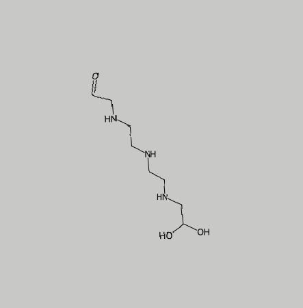 O=CCNCCNCCNCC(O)O